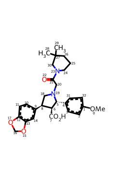 COc1ccc([C@@H]2[C@@H](C(=O)O)[C@@H](c3ccc4c(c3)OCO4)CN2CC(=O)N2CCCC(C)(C)C2)cc1